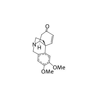 COc1cc2c(cc1OC)[C@@]13C=CC(=O)C[C@@H]1N(CC3)C2